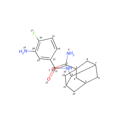 NC(=O)C12CC3CC(C1)C(NC(=O)c1ccc(F)c(N)c1)C(C3)C2